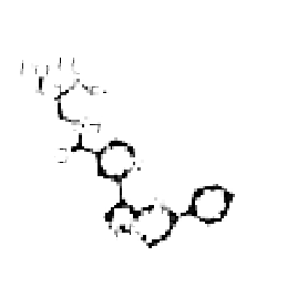 CCN(CC)[C@@H](CO)CNC(=O)c1ccnc(-c2cnn3ccc(-c4ccccc4)nc23)c1